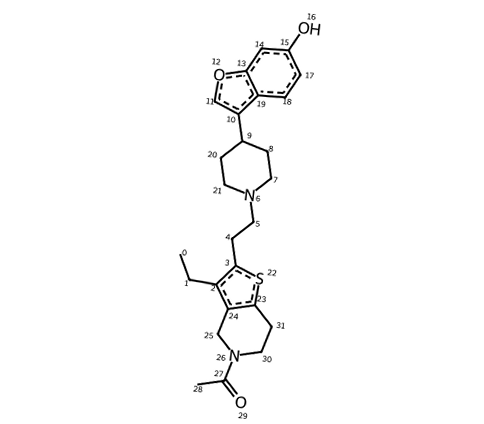 CCc1c(CCN2CCC(c3coc4cc(O)ccc34)CC2)sc2c1CN(C(C)=O)CC2